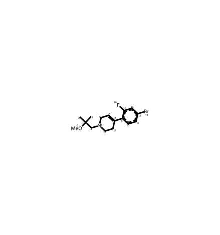 COC(C)(C)CN1CC=C(c2ccc(Br)cc2F)CC1